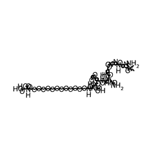 CCCN(CCC)C(=O)C1=Cc2ccc(C(=O)Nc3cnc4c(c3)CN(C(=O)OCc3ccc(NC(=O)[C@H](CCCNC(N)=O)NC(=O)[C@@H](NC(=O)CCc5ccc(N6C(=O)C=CC6=O)cc5C(=O)N[C@@H](CCC(=O)O)C(=O)NCC(=O)NCCOCCOCCOCCOCCOCCOCCOCCOCCOCCOCCOCCOCCC(=O)N[C@@H](CCC(=O)O)C(=O)O)C(C)C)cc3)CC4)cc2N=C(N)C1